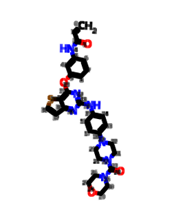 C=CC(=O)Nc1cccc(Oc2nc(Nc3ccc(N4CCN(C(=O)N5CCOCC5)CC4)cc3)nc3ccsc23)c1